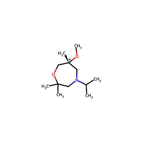 CO[C@@]1(C)COC(C)(C)CN(C(C)C)C1